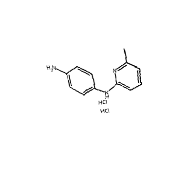 Cc1cccc(Nc2ccc(N)cc2)n1.Cl.Cl